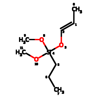 CC=CO[Si](CCC)(OC)OC